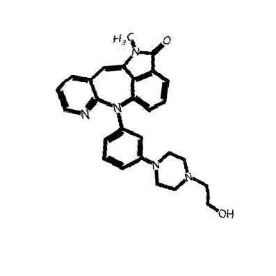 CN1C(=O)c2cccc3c2C1=Cc1cccnc1N3c1cccc(N2CCN(CCO)CC2)c1